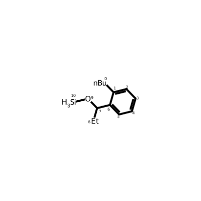 CCCCc1ccccc1C(CC)O[SiH3]